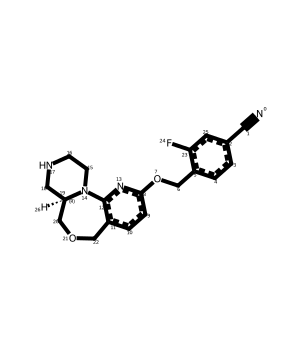 N#Cc1ccc(COc2ccc3c(n2)N2CCNC[C@@H]2COC3)c(F)c1